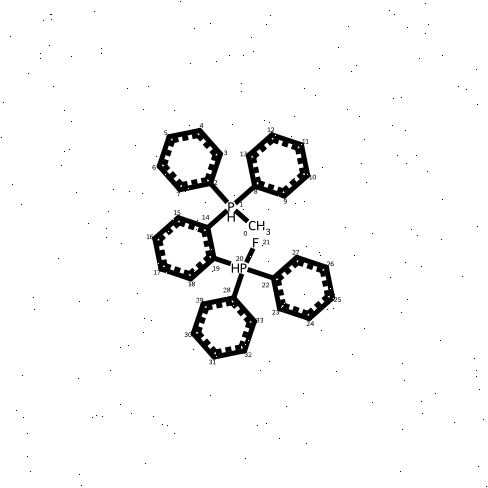 C[PH](c1ccccc1)(c1ccccc1)c1ccccc1[PH](F)(c1ccccc1)c1ccccc1